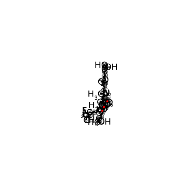 Cc1ccc(F)c(OCCCc2ccc(C3CC4COCC(N4C(=O)OCCCCON(O)O)C3(C)C(=O)N(Cc3ccnc(CCCOC(=O)OCCCCON(O)O)c3C)C3CC3)cc2)c1Cl